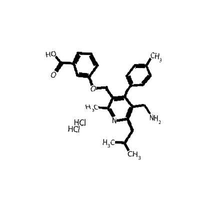 Cc1ccc(-c2c(COc3cccc(C(=O)O)c3)c(C)nc(CC(C)C)c2CN)cc1.Cl.Cl